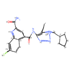 Cc1c(NC(=O)c2cc(C(N)=O)nc3cc(F)ccc23)nnn1CC1CCCC1